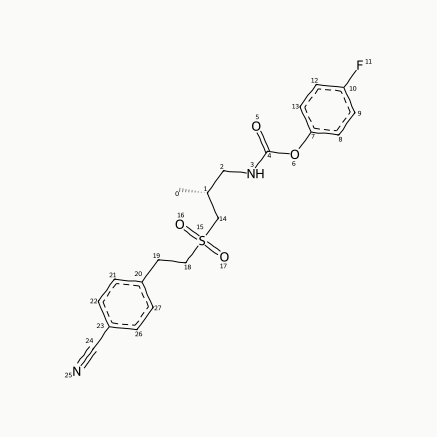 C[C@H](CNC(=O)Oc1ccc(F)cc1)CS(=O)(=O)CCc1ccc(C#N)cc1